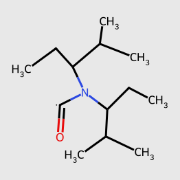 CCC(C(C)C)N([C]=O)C(CC)C(C)C